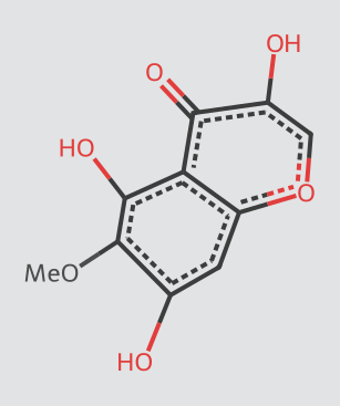 COc1c(O)cc2occ(O)c(=O)c2c1O